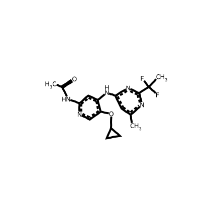 CC(=O)Nc1cc(Nc2cc(C)nc(C(C)(F)F)n2)c(OC2CC2)cn1